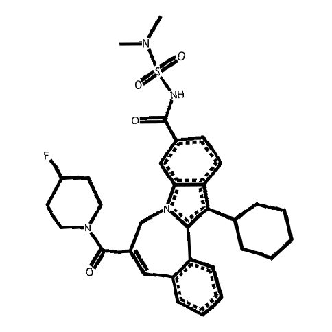 CN(C)S(=O)(=O)NC(=O)c1ccc2c(C3CCCCC3)c3n(c2c1)CC(C(=O)N1CCC(F)CC1)=Cc1ccccc1-3